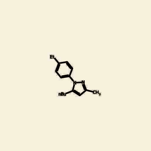 [CH2]Cc1ccc(-n2nc(C)cc2CCCC)cc1